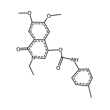 CCn1cc(OC(=O)Nc2ccc(C)cc2)c2cc(OC)c(OC)cc2c1=O